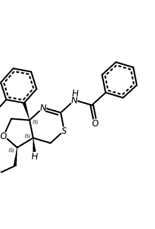 O=C(NC1=N[C@@]2(c3ccccc3F)CO[C@H](CF)[C@H]2CS1)c1ccccc1